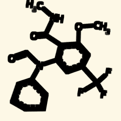 CNC(=O)c1c(OC)cc(C(F)(F)F)cc1N(C=O)c1ccccc1